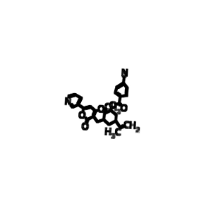 C=C(C)C1CC2Cc3c(cc(-c4cccnc4)oc3=O)OC2(C)C(OC(=O)c2ccc(C#N)cc2)C1